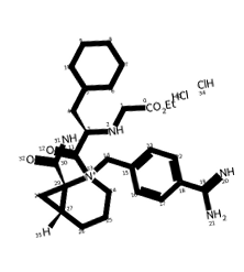 CCOC(=O)CN[C@H](CC1CCCCC1)C(=O)[N+]1(Cc2ccc(C(=N)N)cc2)CCC[C@@H]2C[C@@]21C(N)=O.Cl.Cl